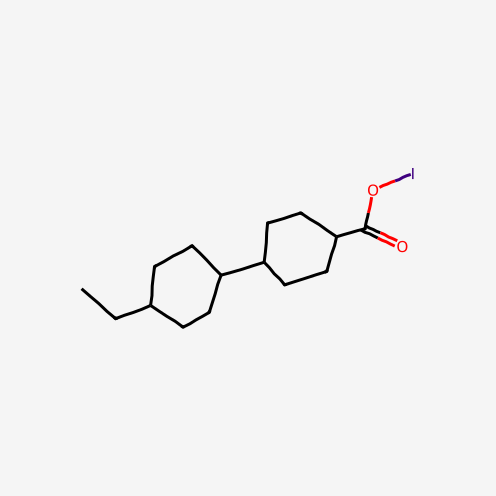 CCC1CCC(C2CCC(C(=O)OI)CC2)CC1